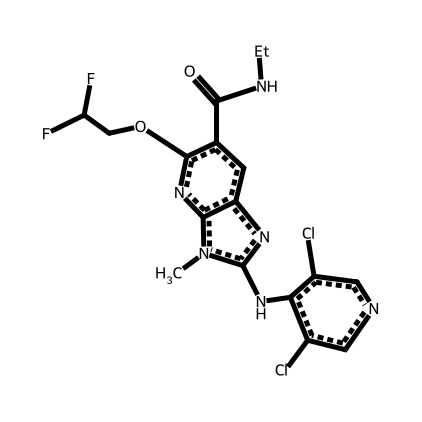 CCNC(=O)c1cc2nc(Nc3c(Cl)cncc3Cl)n(C)c2nc1OCC(F)F